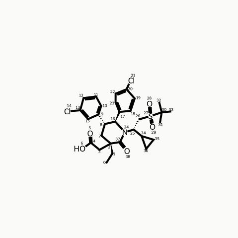 CC[C@@]1(CC(=O)O)C[C@H](c2cccc(Cl)c2)[C@@H](c2ccc(Cl)cc2)N([C@H](CS(=O)(=O)C(C)(C)C)C2CC2)C1=O